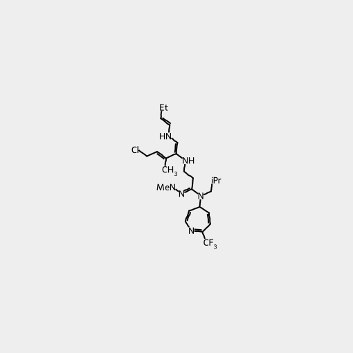 CC/C=C/N/C=C(NCCC(=NNC)N(CC(C)C)C1C=CN=C(C(F)(F)F)C=C1)\C(C)=C\CCl